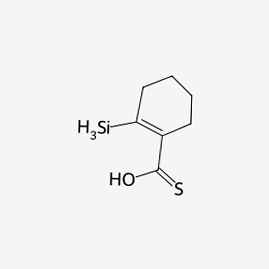 OC(=S)C1=C([SiH3])CCCC1